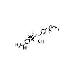 COC(=O)Cc1ccc(CCCNS(=O)(=O)c2ccc(C(=N)N)cc2)cc1.Cl